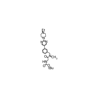 CCN1CCN(c2ncc(-c3cccc(CN(C)C(=O)CNC(=O)OC(C)(C)C)c3)cn2)CC1